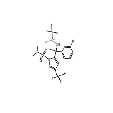 CN(C)S(=O)(=O)n1nc(C(F)(F)F)cc1C(C)(N[S+]([O-])C(C)(C)C)c1cccc(Br)c1